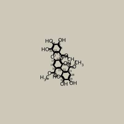 COC(=O)c1cc(O)c(O)c(O)c1Oc1cc(C(=O)OC)c(-c2c(C(=O)OC)cc(O)c(O)c2O)c(O)c1O